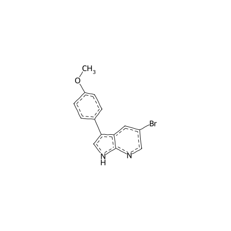 COc1ccc(-c2c[nH]c3ncc(Br)cc23)cc1